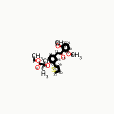 CCOC(=O)C(C)(C)Oc1ccc(CC(=O)c2c(OC)cccc2OC)cc1-c1cccs1